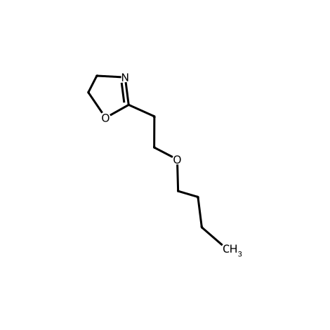 CCCCOCCC1=NCCO1